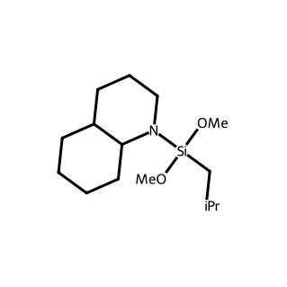 CO[Si](CC(C)C)(OC)N1CCCC2CCCCC21